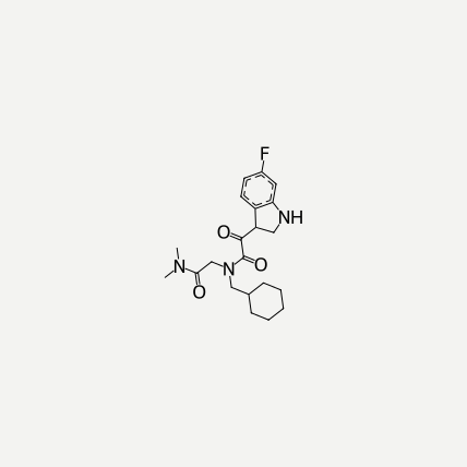 CN(C)C(=O)CN(CC1CCCCC1)C(=O)C(=O)C1CNc2cc(F)ccc21